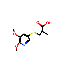 COc1cc(SCC(C)C(=O)O)cnc1OC